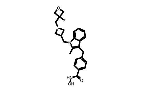 Cc1c(Cc2ccc(C(=O)NO)cc2)c2ccccc2n1CC1CN(CC2(F)COC2)C1